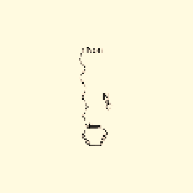 CCCCCCCCCCCCCCCC[n+]1ccccc1.[C-]#N